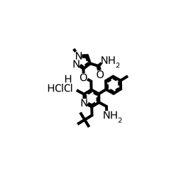 Cc1ccc(-c2c(COc3nn(C)cc3C(N)=O)c(C)nc(CC(C)(C)C)c2CN)cc1.Cl.Cl